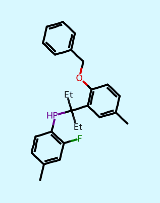 CCC(CC)(Pc1ccc(C)cc1F)c1cc(C)ccc1OCc1ccccc1